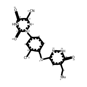 CC(C)(C)Cc1cc(Oc2ccc(-n3nc(C#N)c(=O)[nH]c3=O)cc2Cl)n[nH]c1=O